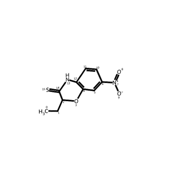 CCC1Oc2cc([N+](=O)[O-])ccc2NC1=S